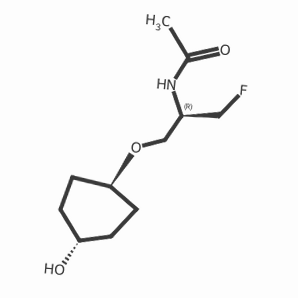 CC(=O)N[C@@H](CF)CO[C@H]1CC[C@H](O)CC1